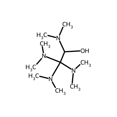 CN(C)C(O)C(N(C)C)(N(C)C)N(C)C